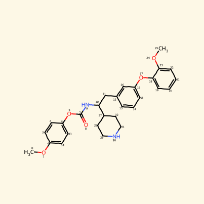 COc1ccc(OC(=O)NC(Cc2cccc(Oc3ccccc3OC)c2)C2CCNCC2)cc1